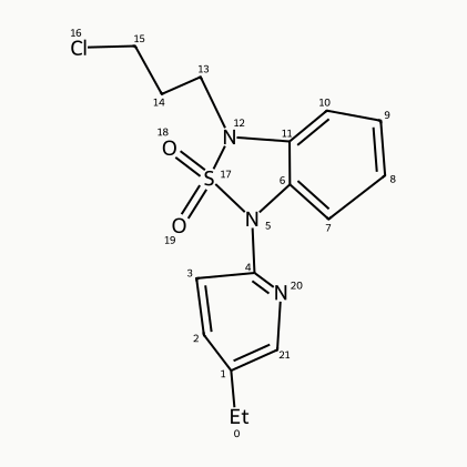 CCc1ccc(N2c3ccccc3N(CCCCl)S2(=O)=O)nc1